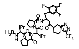 BNC(C(=O)N1CCCC1C(=O)NC(C(=O)N1CCCC1C(=O)NC(CC(=O)C1CCn2c(nnc2C(F)(F)F)C1)Cc1cc(F)c(F)cc1F)C(C)C)C(C)C